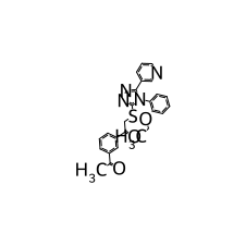 CCOc1ccccc1-n1c(SCC(=O)c2cccc(C(C)=O)c2)nnc1-c1cccnc1